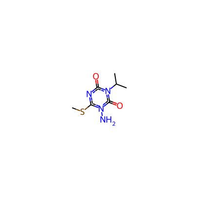 CSc1nc(=O)n(C(C)C)c(=O)n1N